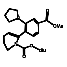 COC(=O)c1ccc(C2=CCCCN2C(=O)OC(C)(C)C)c(N2CCCC2)c1